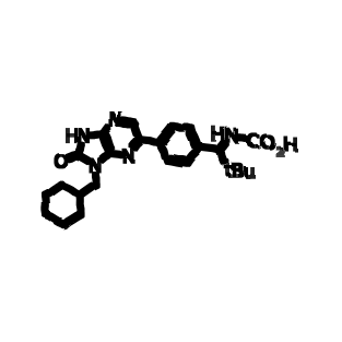 CC(C)(C)C(NC(=O)O)c1ccc(-c2cnc3[nH]c(=O)n(CC4CCCCC4)c3n2)cc1